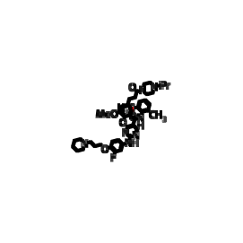 COc1cc(CCC(=O)N2CCN(C(C)C)CC2)ccc1Oc1nc(Nc2ccc(OCCCN3CCCCC3)c(F)c2)ncc1C(=O)Nc1c(C)cccc1C